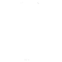 CCCCCCCCCCCCCCCCC(CN)CCCC